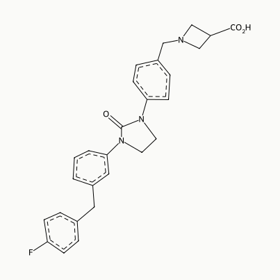 O=C(O)C1CN(Cc2ccc(N3CCN(c4cccc(Cc5ccc(F)cc5)c4)C3=O)cc2)C1